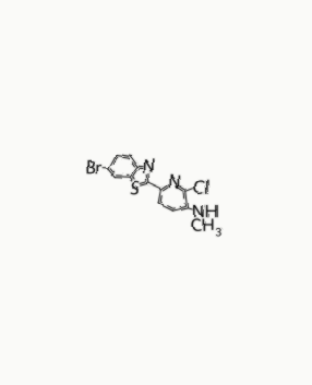 CNc1ccc(-c2nc3ccc(Br)cc3s2)nc1Cl